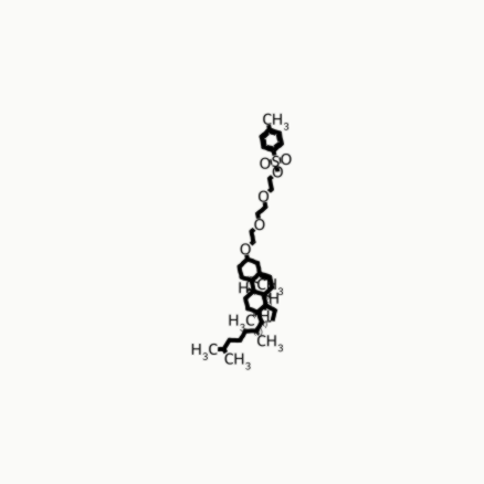 Cc1ccc(S(=O)(=O)OCCOCCOCCOC2CC[C@@]3(C)C(=CC[C@H]4[C@@H]5CC[C@H]([C@H](C)CCCC(C)C)[C@@]5(C)CC[C@@H]43)C2)cc1